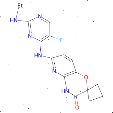 CCNc1ncc(F)c(Nc2ccc3c(n2)NC(=O)C2(CCC2)O3)n1